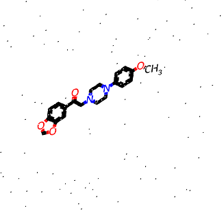 COc1ccc(N2CCN(CC(=O)c3ccc4c(c3)OCO4)CC2)cc1